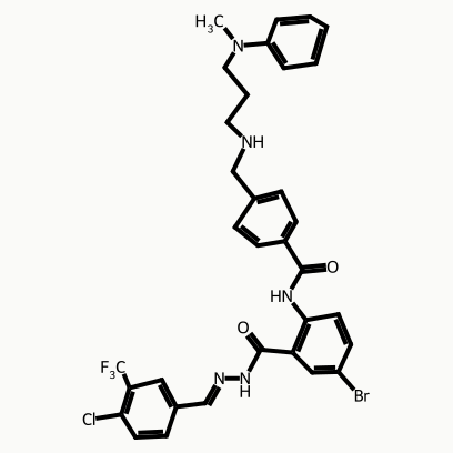 CN(CCCNCc1ccc(C(=O)Nc2ccc(Br)cc2C(=O)NN=Cc2ccc(Cl)c(C(F)(F)F)c2)cc1)c1ccccc1